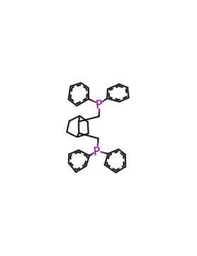 c1ccc(P(CC2C3CCC(CC3)C2CP(c2ccccc2)c2ccccc2)c2ccccc2)cc1